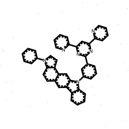 c1ccc(-n2ccc3c4cc5c(cc4ccc32)c2ccccc2n5-c2cccc(-c3nc(-c4ccccn4)cc(-c4ccccn4)n3)c2)cc1